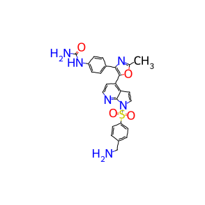 Cc1nc(-c2ccc(NC(N)=O)cc2)c(-c2ccnc3c2ccn3S(=O)(=O)c2ccc(CN)cc2)o1